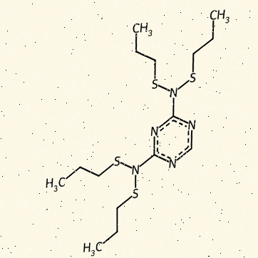 CCCSN(SCCC)c1ncnc(N(SCCC)SCCC)n1